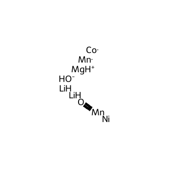 [Co].[LiH].[LiH].[MgH+].[Mn].[Ni].[OH-].[O]=[Mn]